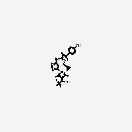 Cc1nn(-c2cc(Nc3c(C)c(-c4ccc(C#N)cc4)nn3CC3CC3)ncn2)c(C)c1C(O)C(C)(F)F